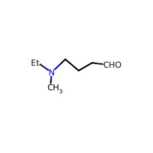 CCN(C)CCCC=O